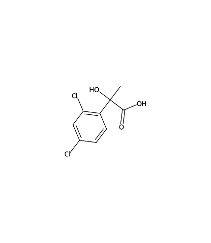 CC(O)(C(=O)O)c1ccc(Cl)cc1Cl